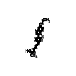 C=CCOc1ccc2nc(-c3ccc(/C=C/CCCC(C)O)cc3F)cnc2c1